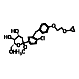 CO[C@]1(c2ccc(Cl)c(Cc3ccc(OCCOC4CC4)cc3)c2)C[C@@H](O)[C@H](O)[C@@H](CO)O1